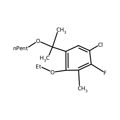 CCCCCOC(C)(C)c1cc(Cl)c(F)c(C)c1OCC